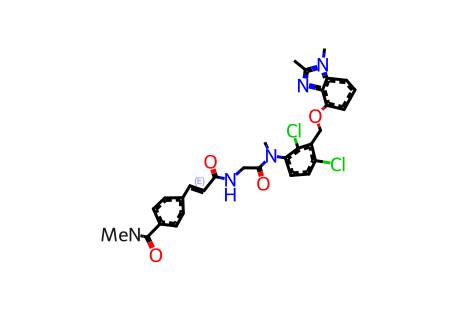 CNC(=O)c1ccc(/C=C/C(=O)NCC(=O)N(C)c2ccc(Cl)c(COc3cccc4c3nc(C)n4C)c2Cl)cc1